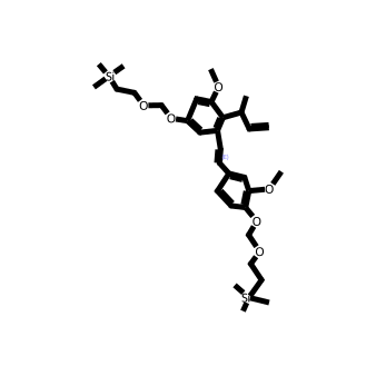 C=CC(C)c1c(/C=C/c2ccc(OCOCC[Si](C)(C)C)c(OC)c2)cc(OCOCC[Si](C)(C)C)cc1OC